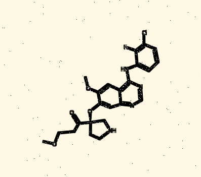 COCCC(=O)[C@@]1(Oc2cc3ncnc(Nc4cccc(Cl)c4F)c3cc2OC)CCNC1